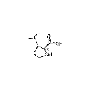 CC(C)C1CCN[C@@H]1C(=O)O